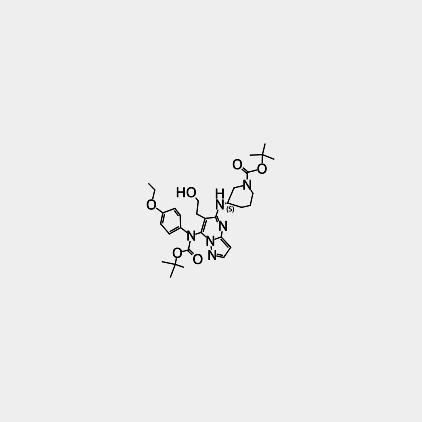 CCOc1ccc(N(C(=O)OC(C)(C)C)c2c(CCO)c(N[C@H]3CCCN(C(=O)OC(C)(C)C)C3)nc3ccnn23)cc1